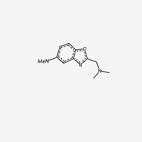 CNc1ccc2oc(CN(C)C)nc2c1